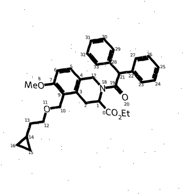 CCOC(=O)C1Cc2c(ccc(OC)c2COCCC2CC2)CN1C(=O)C(c1ccccc1)c1ccccc1